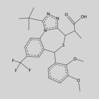 COc1cccc(C2SC(C(C)C(=O)O)c3nnc(C(C)(C)C)n3-c3ccc(C(F)(F)F)cc32)c1OC